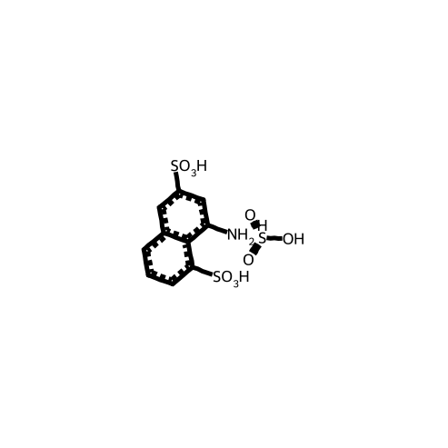 Nc1cc(S(=O)(=O)O)cc2cccc(S(=O)(=O)O)c12.O=[SH](=O)O